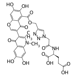 Cc1c(-c2coc3cc(O)c(O)c(C(=O)OCc4cn(CC(=O)N[C@@H](CCC(=O)O)C(=O)O)nn4)c3c2=O)c(=O)c2cc(O)c(O)cc2n1C